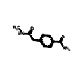 CNC(=O)Cc1ccc(C(N)=S)cc1